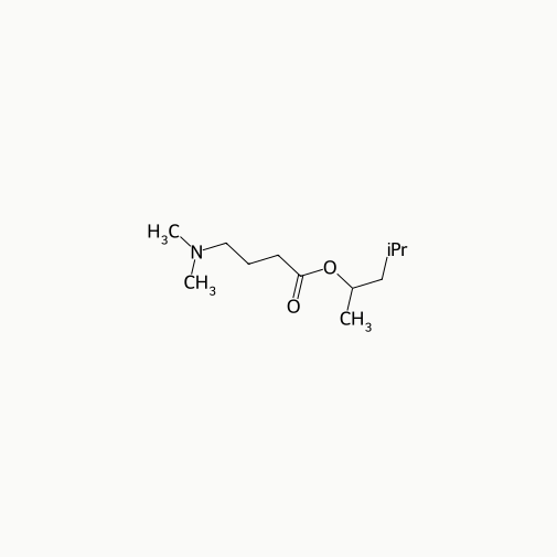 CC(C)CC(C)OC(=O)CCCN(C)C